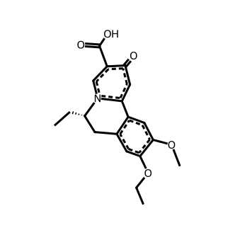 CCOc1cc2c(cc1OC)-c1cc(=O)c(C(=O)O)cn1[C@@H](CC)C2